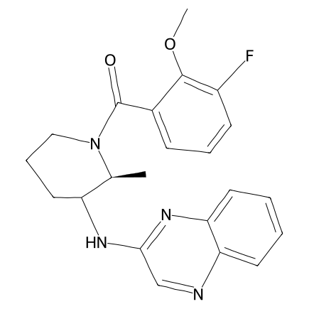 COc1c(F)cccc1C(=O)N1CCCC(Nc2cnc3ccccc3n2)[C@@H]1C